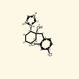 O[C@@]1(Cc2ccc(Cl)cc2Cl)CCCC[C@H]1n1cncn1